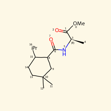 COC(=O)[C@@H](C)NC(=O)C1CC(C)(C)CCC1C(C)C